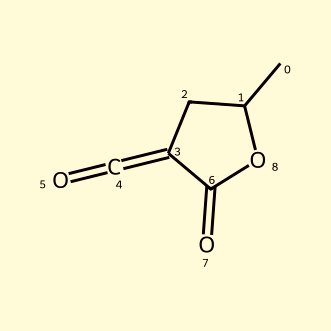 CC1CC(=C=O)C(=O)O1